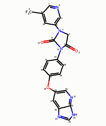 O=C1CN(c2cncc(C(F)(F)F)c2)C(=O)N1c1ccc(Oc2cnc3[nH]cnc3c2)cc1